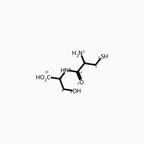 NC(CS)C(=O)NC(CO)C(=O)O